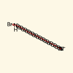 [N-]=[N+]=NCCOCCOCCOCCOCCOCCOCCOCCOCCOCCOCCOCCOCCOCCOCCOCCOCCOCCOCCOCCOCCOCCOCCOCCNC[C@H]1CC[C@H](CBr)CC1